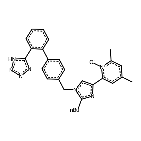 CCCCc1nc(-c2cc(C)cc(C)[n+]2[O-])cn1Cc1ccc(-c2ccccc2-c2nnn[nH]2)cc1